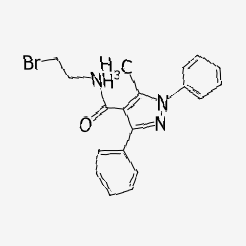 Cc1c(C(=O)NCCBr)c(-c2ccccc2)nn1-c1ccccc1